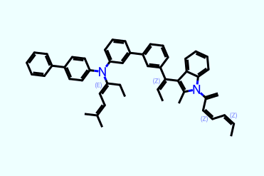 C=C(/C=C\C=C/C)n1c(C)c(/C(=C\C)c2cccc(-c3cccc(N(/C(=C/C=C(C)C)CC)c4ccc(-c5ccccc5)cc4)c3)c2)c2ccccc21